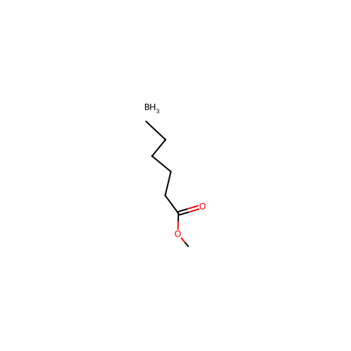 B.CCCCCC(=O)OC